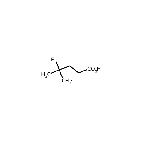 [CH2]C(C)(CC)CCC(=O)O